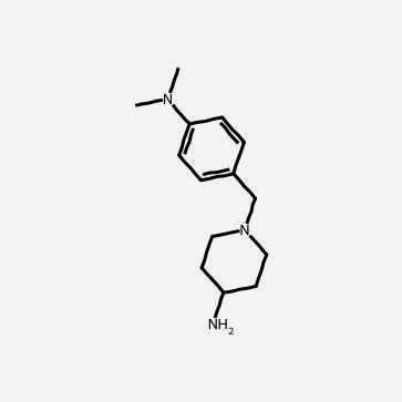 CN(C)c1ccc(CN2CCC(N)CC2)cc1